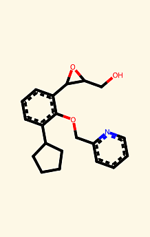 OCC1OC1c1cccc(C2CCCC2)c1OCc1ccccn1